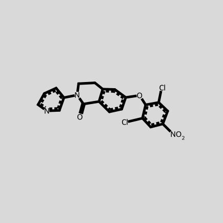 O=C1c2ccc(Oc3c(Cl)cc([N+](=O)[O-])cc3Cl)cc2CCN1c1cccnc1